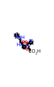 O=C(O)CC1CN(C(=O)c2cccnc2)c2cc(NC(=O)CCCNc3ccccn3)ccc2O1